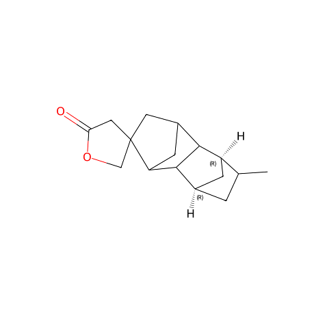 CC1C[C@@H]2C[C@H]1C1C3CC(C12)C1(COC(=O)C1)C3